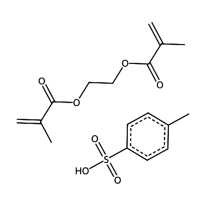 C=C(C)C(=O)OCCOC(=O)C(=C)C.Cc1ccc(S(=O)(=O)O)cc1